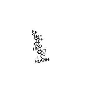 Cn1c(-c2cn(C3CC3(F)F)nc2C(F)(F)F)cnc1C(=O)Nc1ccc(C(=O)NC2CNCC2O)c(Cl)c1